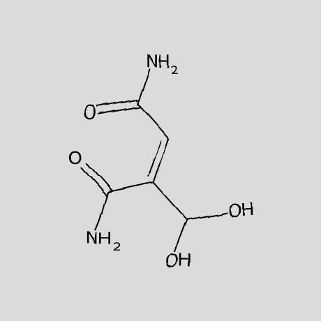 NC(=O)/C=C(\C(N)=O)C(O)O